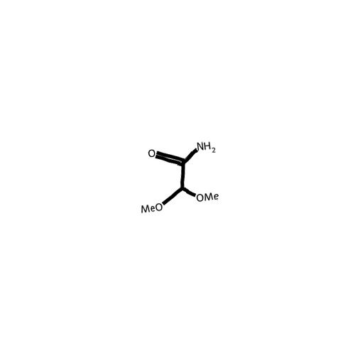 CO[C](OC)C(N)=O